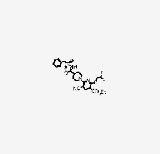 CCOC(=O)c1cc(C#N)c(N2CCC(C(=O)NS(=O)(=O)Cc3ccccc3)CC2)nc1OCC(F)F